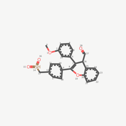 COc1cccc(C2=C(c3ccc(C[SH](=O)=O)cc3)Oc3ccccc3C2C=O)c1